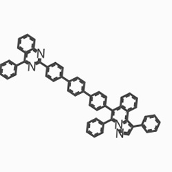 c1ccc(-c2nc(-c3ccc(-c4ccc(-c5ccc(-c6c(-c7ccccc7)n7ncc(-c8ccccc8)c7c7ccccc67)cc5)cc4)cc3)nc3ccccc23)cc1